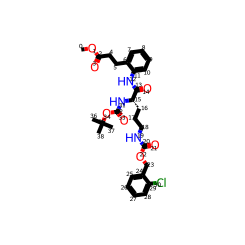 COC(=O)CCc1ccccc1NC(=O)[C@H](CCCNC(=O)OCc1ccccc1Cl)NC(=O)OC(C)(C)C